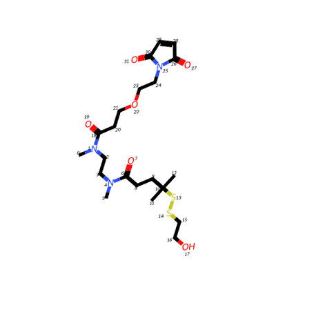 CN(CCN(C)C(=O)CCC(C)(C)SSCCO)C(=O)CCOCCN1C(=O)C=CC1=O